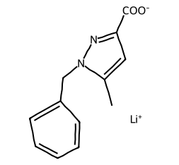 Cc1cc(C(=O)[O-])nn1Cc1ccccc1.[Li+]